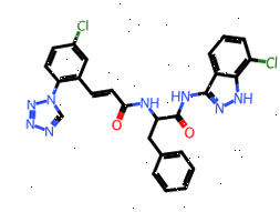 O=C(C=Cc1cc(Cl)ccc1-n1cnnn1)NC(Cc1ccccc1)C(=O)Nc1n[nH]c2c(Cl)cccc12